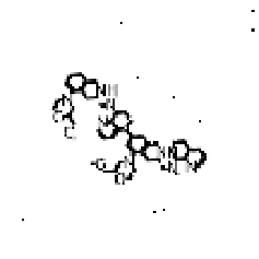 COCC1CN(c2cc(C3CC[C@H](N(C)C[C@@H]4Cc5c(cccc5N5CCOC(COC)C5)CN4)c4ncccc43)cc3c2C[C@H](CN(C)[C@H]2CCCc4cccnc42)NC3)CCO1